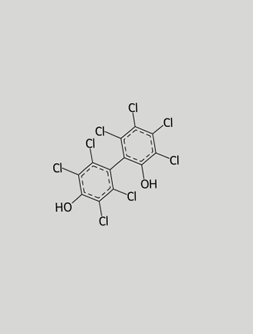 Oc1c(Cl)c(Cl)c(-c2c(O)c(Cl)c(Cl)c(Cl)c2Cl)c(Cl)c1Cl